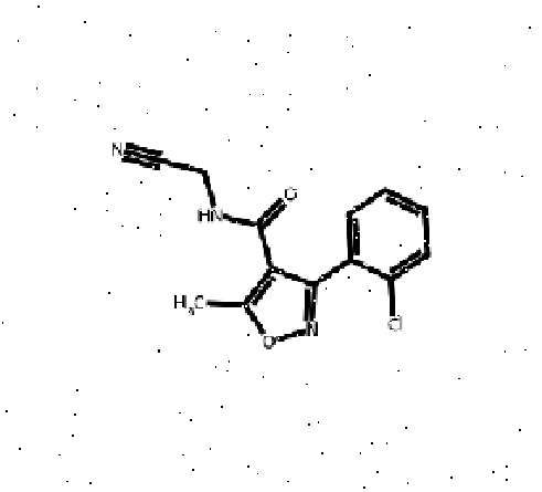 Cc1onc(-c2ccccc2Cl)c1C(=O)NCC#N